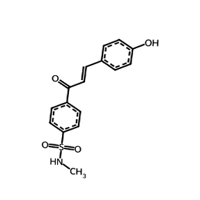 CNS(=O)(=O)c1ccc(C(=O)/C=C/c2ccc(O)cc2)cc1